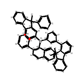 CC1(C)c2ccccc2-c2cccc(-c3cccc(N(c4ccc5c(c4)C(C)(c4ccccc4)c4ccccc4-5)c4c(-c5ccccc5)ccc5ccccc45)c3)c21